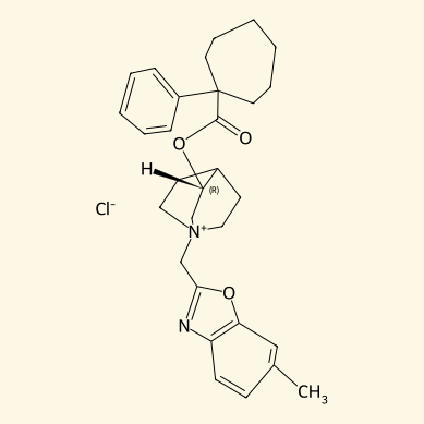 Cc1ccc2nc(C[N+]34CCC(CC3)[C@@H](OC(=O)C3(c5ccccc5)CCCCCC3)C4)oc2c1.[Cl-]